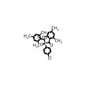 Cc1cc(C)c(C(=O)P(=O)(C(=O)c2c(C)cc(C)cc2C)c2ccc(Cl)cc2)c(C)c1